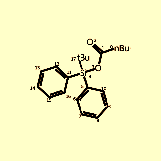 CCC[CH]C(=O)O[Si](c1ccccc1)(c1ccccc1)C(C)(C)C